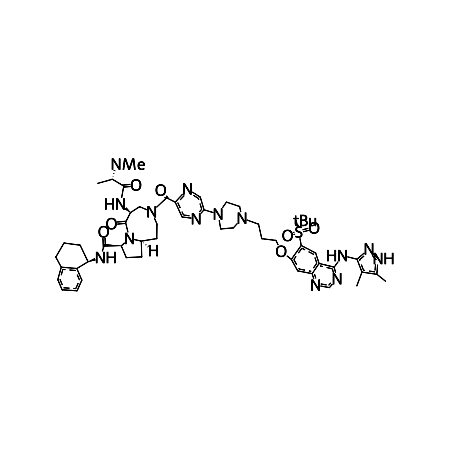 CN[C@@H](C)C(=O)N[C@H]1CN(C(=O)c2cnc(N3CCN(CCCOc4cc5ncnc(Nc6n[nH]c(C)c6C)c5cc4S(=O)(=O)C(C)(C)C)CC3)cn2)CC[C@H]2CC[C@@H](C(=O)N[C@@H]3CCCc4ccccc43)N2C1=O